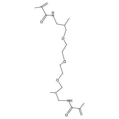 C=C(C)C(=O)NCC(C)COCCOCCOCC(C)CNC(=O)C(=C)C